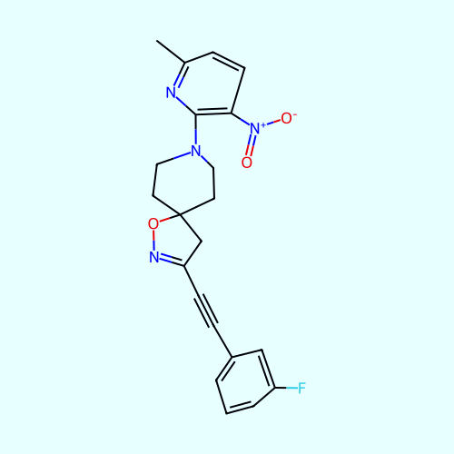 Cc1ccc([N+](=O)[O-])c(N2CCC3(CC2)CC(C#Cc2cccc(F)c2)=NO3)n1